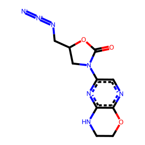 [N-]=[N+]=NCC1CN(c2cnc3c(n2)NCCO3)C(=O)O1